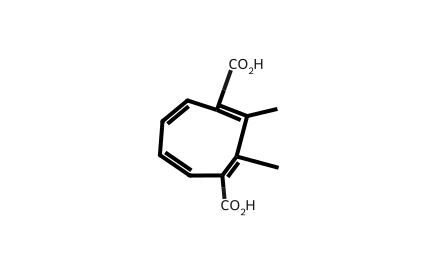 CC1=C(C(=O)O)C=CC=CC(C(=O)O)=C1C